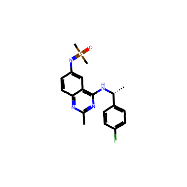 Cc1nc(N[C@H](C)c2ccc(F)cc2)c2cc(N=S(C)(C)=O)ccc2n1